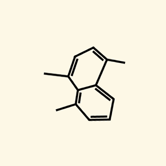 Cc1ccc(C)c2c(C)cccc12